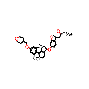 COC(=O)CC1COc2cc(O[C@@H]3CCc4c3ccc(C#N)c4-c3c(C)cc(OCC4CCOCC4)cc3C)ccc21